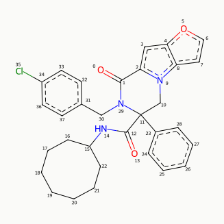 O=C1c2cc3occc3n2CC(C(=O)NC2CCCCCCC2)(c2ccccc2)N1Cc1ccc(Cl)cc1